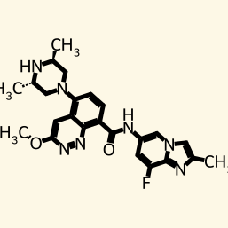 COc1cc2c(N3C[C@H](C)N[C@@H](C)C3)ccc(C(=O)Nc3cc(F)c4nc(C)cn4c3)c2nn1